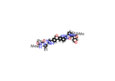 CC[C@H]1C[C@@H](c2ncc(-c3ccc4c(c3)COc3cc5c(ccc6nc([C@@H]7CC[C@H](CC)N7C(=O)[C@@H](NC(=O)OC)C7CCOCC7)[nH]c65)cc3-4)[nH]2)N(C(=O)C(NC(=O)OC)C(C)C)C1